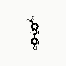 CC(=O)c1ccc2nc(-c3ccc(Cl)nc3)oc2c1